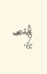 COc1cccc(CN(C(=O)C2=C(c3ccc(CCCOc4c(F)ccc(F)c4Cl)cc3)CC3C[S+]([O-])CC2N3C(=O)OCCOCCON(O)O)C2CC2)c1C